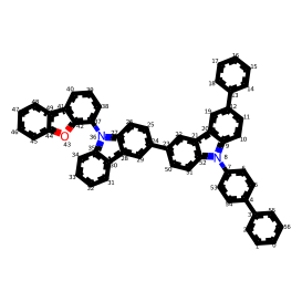 c1ccc(-c2ccc(-n3c4ccc(-c5ccccc5)cc4c4cc(-c5ccc6c(c5)c5ccccc5n6-c5cccc6c5oc5ccccc56)ccc43)cc2)cc1